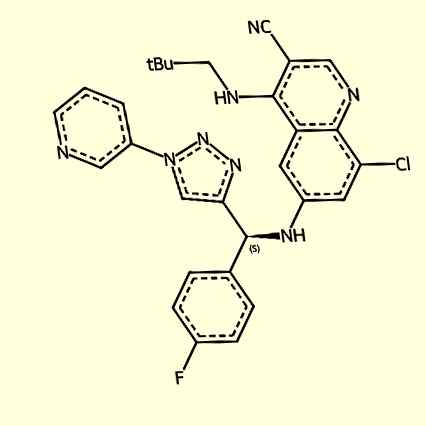 CC(C)(C)CNc1c(C#N)cnc2c(Cl)cc(N[C@@H](c3ccc(F)cc3)c3cn(-c4cccnc4)nn3)cc12